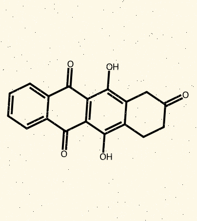 O=C1CCc2c(O)c3c(c(O)c2C1)C(=O)c1ccccc1C3=O